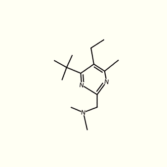 CCc1c(C)nc(CN(C)C)nc1C(C)(C)C